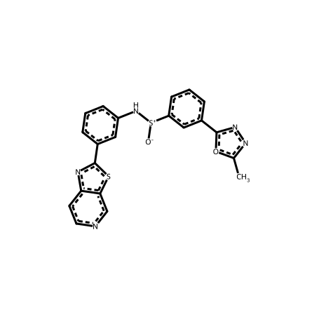 Cc1nnc(-c2cccc([S+]([O-])Nc3cccc(-c4nc5ccncc5s4)c3)c2)o1